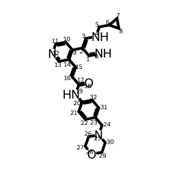 N=C/C(=C\NCC1CC1)c1ccncc1/C=C/C(=O)Nc1ccc(CN2CCOCC2)cc1